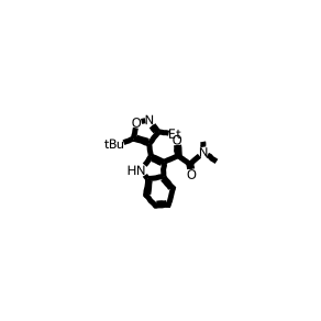 CCc1noc(C(C)(C)C)c1-c1[nH]c2ccccc2c1C(=O)C(=O)N(C)C